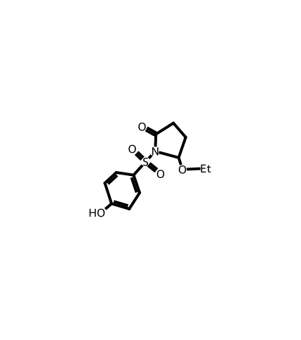 CCOC1CCC(=O)N1S(=O)(=O)c1ccc(O)cc1